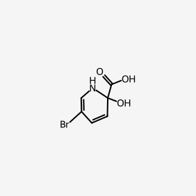 O=C(O)C1(O)C=CC(Br)=CN1